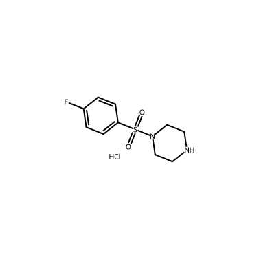 Cl.O=S(=O)(c1ccc(F)cc1)N1CCNCC1